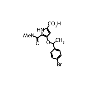 CNC(=O)c1[nH]c(C(=O)O)cc1OC(C)c1ccc(Br)cc1